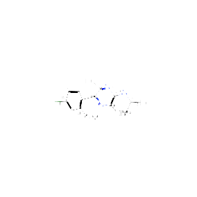 CCc1nc(NC(CC)CC)c(OC)nc1-c1ccc(Cl)cc1OC